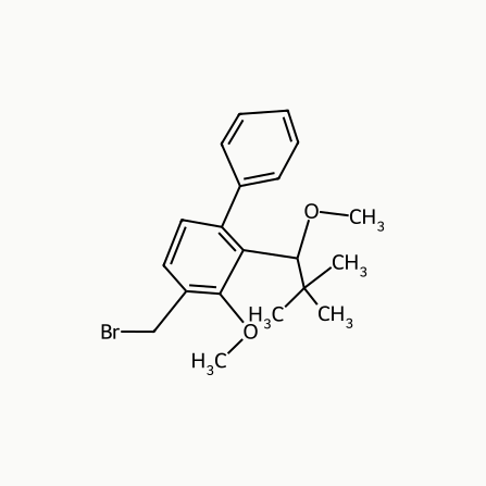 COc1c(CBr)ccc(-c2ccccc2)c1C(OC)C(C)(C)C